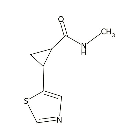 CNC(=O)C1CC1c1cncs1